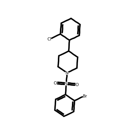 O=S(=O)(c1ccccc1Br)N1CCC(C2C=CCC=C2Cl)CC1